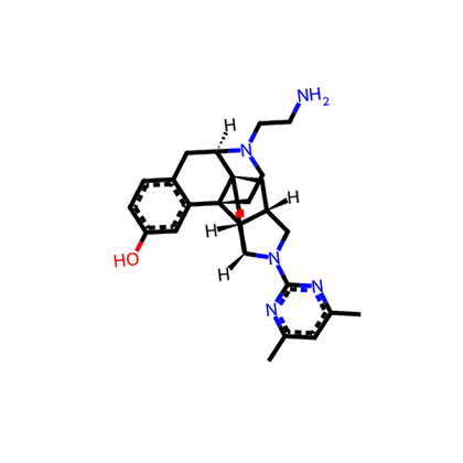 Cc1cc(C)nc(N2C[C@H]3C[C@@]45CC[C@@H]2[C@@H]3[C@@]42CCN(CCN)[C@@H]5Cc3ccc(O)cc32)n1